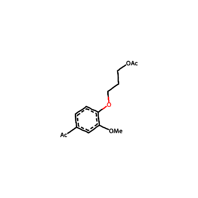 COc1cc(C(C)=O)ccc1OCCCOC(C)=O